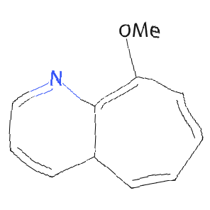 COC1=C2N=CC=CC2C=CC=C1